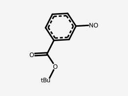 CC(C)(C)OC(=O)c1cccc(N=O)c1